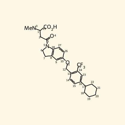 CNC(CC(=O)N1CCc2cc(OCc3ccc(C4CCCCC4)cc3C(F)(F)F)ccc21)C(=O)O